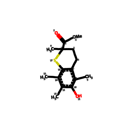 COC(=O)C1(C)CCc2c(C)c(O)c(C)c(C)c2S1